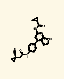 N#CC1(CC(=O)Nc2ccc(-c3cc(NC(=O)C4CC4)nc4[nH]ccc34)cc2)CC1